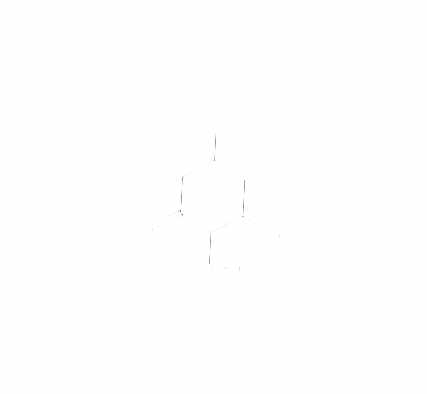 CCCCCC1C(=O)CC(CC)CC1CC